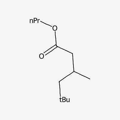 CCCOC(=O)CC(C)CC(C)(C)C